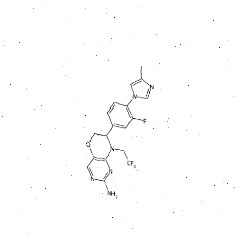 Cc1cn(-c2ccc(C3COc4cnc(N)nc4N3CC(F)(F)F)cc2F)cn1